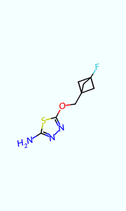 Nc1nnc(OCC23CC(F)(C2)C3)s1